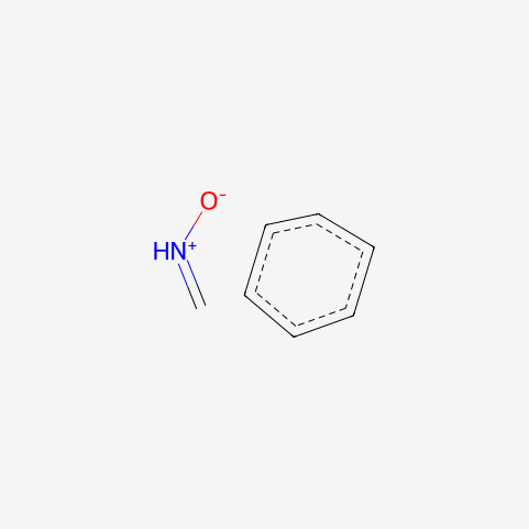 C=[NH+][O-].c1ccccc1